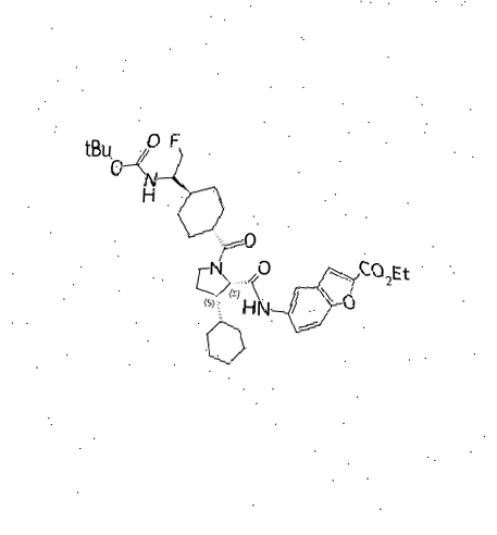 CCOC(=O)c1cc2cc(NC(=O)[C@@H]3[C@H](C4CCCCC4)CCN3C(=O)[C@H]3CC[C@H](C(CF)NC(=O)OC(C)(C)C)CC3)ccc2o1